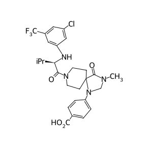 CC(C)[C@@H](Nc1cc(Cl)cc(C(F)(F)F)c1)C(=O)N1CCC2(CC1)C(=O)N(C)CN2c1ccc(C(=O)O)cc1